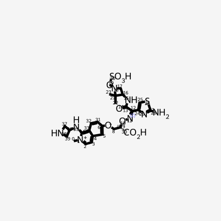 C[n+]1ccc2cc(OC[C@H](O/N=C(\C(=O)NC3CN(OS(=O)(=O)O)C3(C)C)c3csc(N)n3)C(=O)O)ccc2c1NC1CNC1